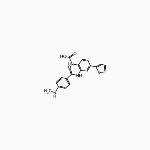 CNc1ccc(C(=O)Nc2cc(-c3cccs3)ccc2NC(=O)O)cc1